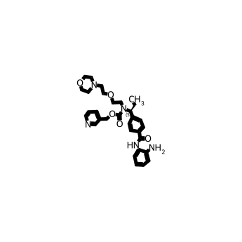 CC[C@@H](c1ccc(C(=O)Nc2ccccc2N)cc1)N(CCOCCN1CCOCC1)C(=O)OCc1cccnc1